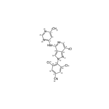 Cc1cc(Nc2ncc(Cl)c3nn(-c4c(Cl)cc(C#N)cc4Cl)cc23)ncn1